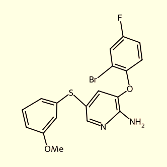 COc1cccc(Sc2cnc(N)c(Oc3ccc(F)cc3Br)c2)c1